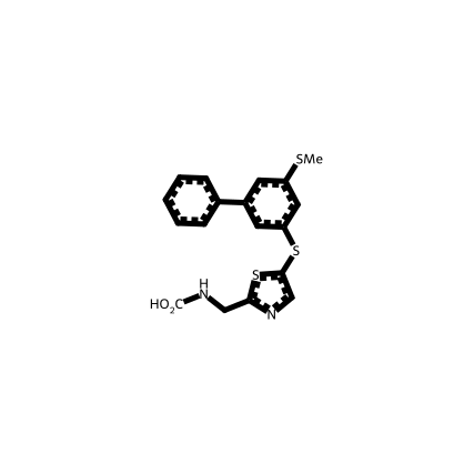 CSc1cc(Sc2cnc(CNC(=O)O)s2)cc(-c2ccccc2)c1